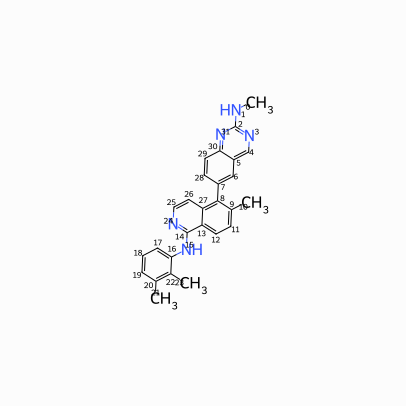 CNc1ncc2cc(-c3c(C)ccc4c(Nc5cccc(C)c5C)nccc34)ccc2n1